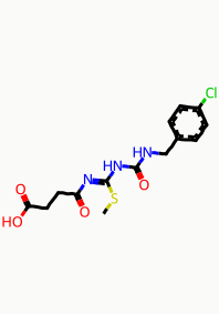 CS/C(=N\C(=O)CCC(=O)O)NC(=O)NCc1ccc(Cl)cc1